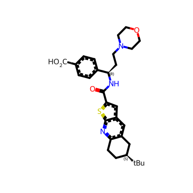 CC(C)(C)[C@H]1CCc2nc3sc(C(=O)N[C@H](CCN4CCOCC4)c4ccc(C(=O)O)cc4)cc3cc2C1